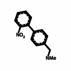 CNCc1ccc(-c2ccccc2[N+](=O)[O-])cc1